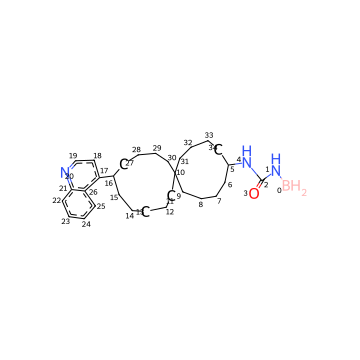 BNC(=O)NC1CCCCC2(CCCCCC(c3ccnc4ccccc34)CCCC2)CCCC1